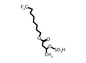 CC(CC(=O)OCCCCCCCC(F)(F)F)OS(=O)(=O)O